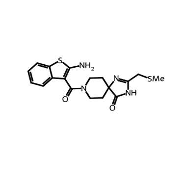 CSCC1=NC2(CCN(C(=O)c3c(N)sc4ccccc34)CC2)C(=O)N1